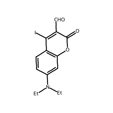 CCN(CC)c1ccc2c(I)c(C=O)c(=O)oc2c1